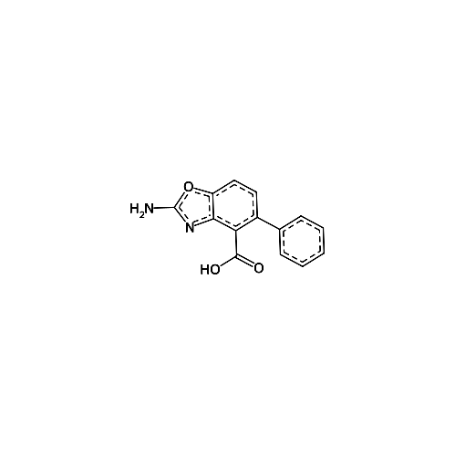 Nc1nc2c(C(=O)O)c(-c3ccccc3)ccc2o1